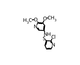 COc1cc(NSc2cccnc2Cl)cnc1OC